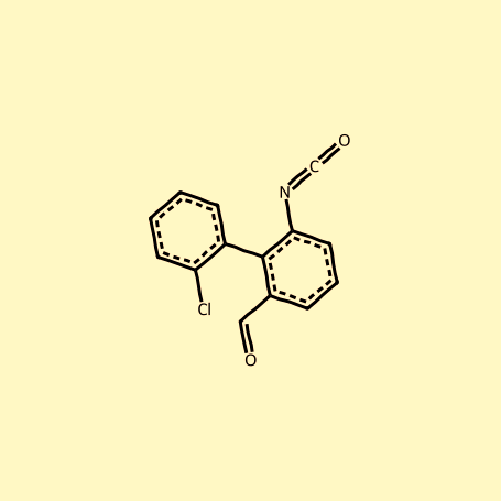 O=C=Nc1cccc(C=O)c1-c1ccccc1Cl